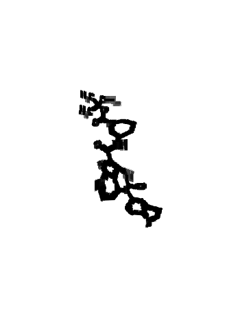 CC(C)(C)OC(=O)N1CCC[C@@H](NC(=O)c2sc3nccc4c3c2NC(=O)N4c2ccc3sccc3c2)C1